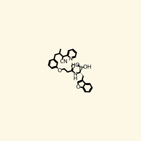 CC(Cc1cccc(OCCC(=O)N[C@@H](Cc2coc3ccccc23)B(O)O)c1)C(C#N)c1ccccn1